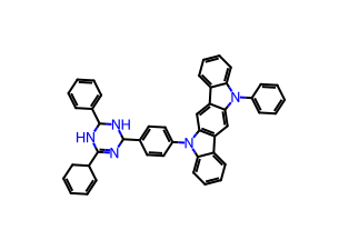 C1=CCC(C2=NC(c3ccc(-n4c5ccccc5c5cc6c(cc54)c4ccccc4n6-c4ccccc4)cc3)NC(c3ccccc3)N2)C=C1